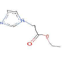 CCOC(=O)Cn1ccnc1